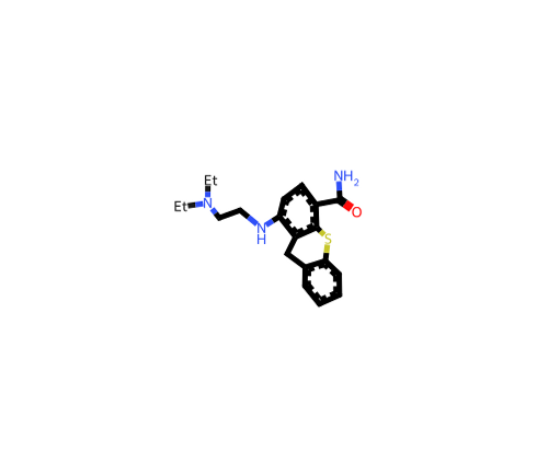 CCN(CC)CCNc1ccc(C(N)=O)c2c1Cc1ccccc1S2